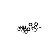 CC(=O)NCCN(c1ccc(N/C(=C2\C(=O)Nc3ccccc32)c2ccccc2)cc1)S(C)(=O)=O